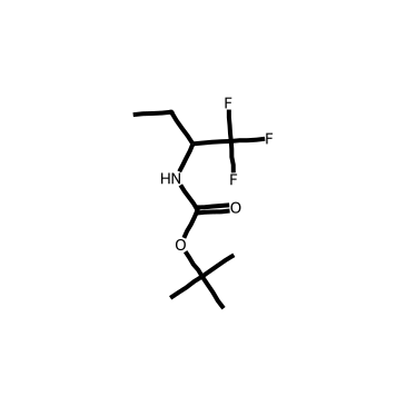 CCC(NC(=O)OC(C)(C)C)C(F)(F)F